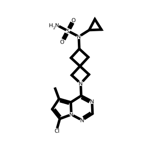 Cc1cc(Cl)n2ncnc(N3CC4(CC(N(C5CC5)S(N)(=O)=O)C4)C3)c12